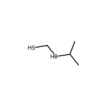 CC(C)BCS